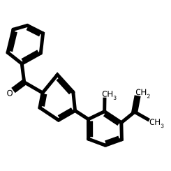 C=C(C)c1cccc(-c2ccc(C(=O)c3ccccc3)cc2)c1C